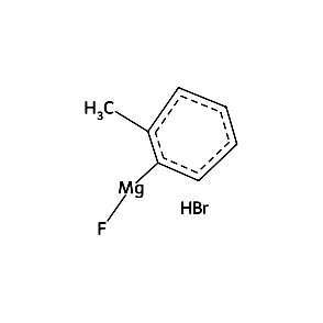 Br.Cc1cccc[c]1[Mg][F]